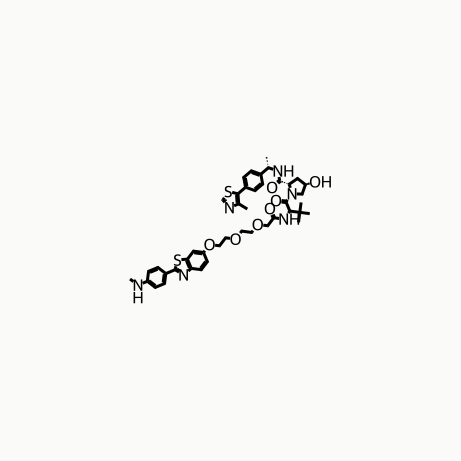 CNc1ccc(-c2nc3ccc(OCCOCCOCC(=O)NC(C(=O)N4C[C@H](O)C[C@H]4C(=O)N[C@@H](C)c4ccc(-c5scnc5C)cc4)C(C)(C)C)cc3s2)cc1